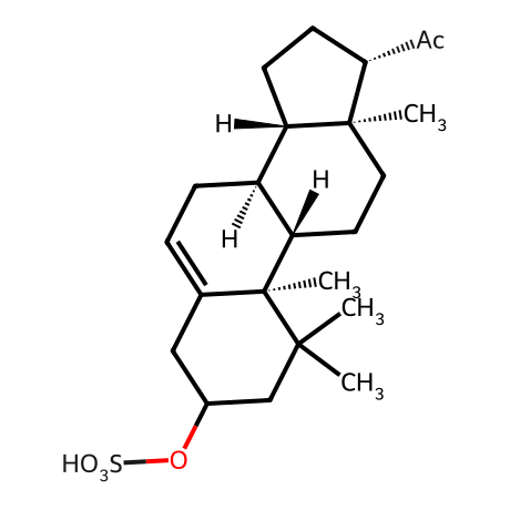 CC(=O)[C@H]1CC[C@H]2[C@@H]3CC=C4CC(OS(=O)(=O)O)CC(C)(C)[C@]4(C)[C@H]3CC[C@]12C